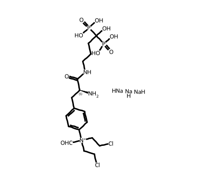 N[C@@H](Cc1ccc([N+](C=O)(CCCl)CCCl)cc1)C(=O)NCCCC(O)(P(=O)(O)O)P(=O)(O)O.[NaH].[NaH].[NaH]